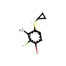 Cc1c(SC2CC2)ccc(Br)c1F